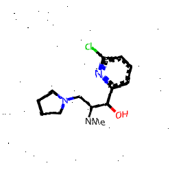 CNC(CN1CCCC1)C(O)c1cccc(Cl)n1